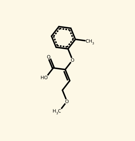 COCC=C(Oc1ccccc1C)C(=O)O